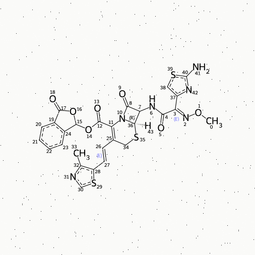 CO/N=C(/C(=O)NC1C(=O)N2C(C(=O)OC3OC(=O)c4ccccc43)=C(/C=C/c3scnc3C)CS[C@H]12)c1csc(N)n1